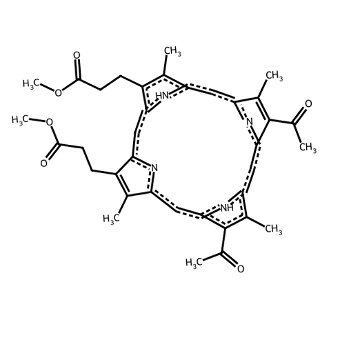 COC(=O)CCC1=C(C)c2cc3[nH]c(cc4nc(cc5[nH]c(cc1n2)c(CCC(=O)OC)c5C)C(C)=C4C(C)=O)c(C)c3C(C)=O